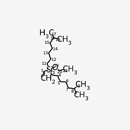 C=C[Si](CCCCCC(C)C)(CCCCCC(C)C)OCC